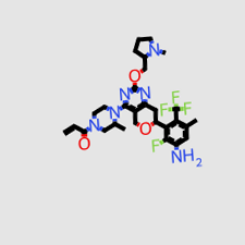 C=CC(=O)N1CCN(c2nc(OCC3CCCN3C)nc3c2COC(c2c(F)c(N)cc(C)c2C(F)(F)F)C3)C(C)C1